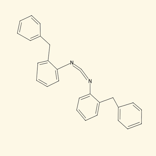 C(=Nc1ccccc1Cc1ccccc1)=Nc1ccccc1Cc1ccccc1